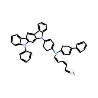 C=C/C=C\C=C/N(C1=CC=C(c2ccccc2)CC1)C1=CC=C(n2c3ccccc3c3cc4c5ccccc5n(-c5ccccc5)c4cc32)CC1